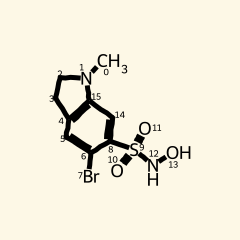 CN1CCc2cc(Br)c(S(=O)(=O)NO)cc21